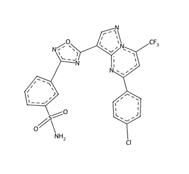 NS(=O)(=O)c1cccc(-c2noc(-c3cnn4c(C(F)(F)F)cc(-c5ccc(Cl)cc5)nc34)n2)c1